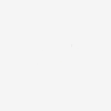 Bc1cccc2sc3c4c(ccc3c12)-c1cccc2cccc-4c12